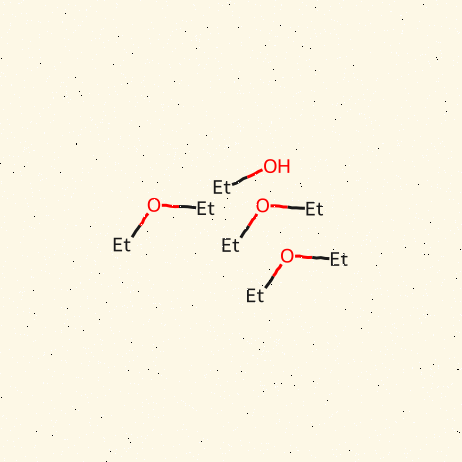 CCO.CCOCC.CCOCC.CCOCC